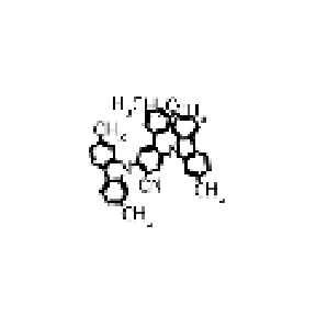 Cc1cc(C)cc(-c2cc(-n3c4cc(C)ccc4c4ccc(C)cc43)c(C#N)cc2-n2c3cc(C)ccc3c3ccc(C)cc32)c1